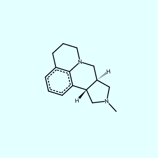 CN1C[C@@H]2CN3CCCc4cccc(c43)[C@H]2C1